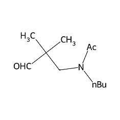 CCCCN(CC(C)(C)C=O)C(C)=O